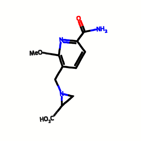 COc1nc(C(N)=O)ccc1CN1CC1C(=O)O